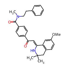 COc1ccc2c(c1)C(=CC(=O)c1ccc(C(=O)N(C)CCc3ccccc3)cc1)NC(C)(C)C2